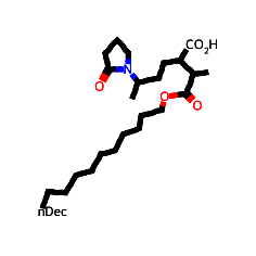 CCCCCCCCCCCCCCCCCCCCOC(=O)C(C)C(CCC(C)N1CCCC1=O)C(=O)O